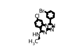 CCNc1nc2nnc(-c3cccc(Br)c3)n2c2cc(Cl)ccc12